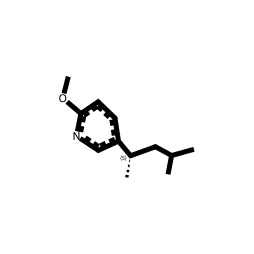 COc1ccc([C@@H](C)CC(C)C)cn1